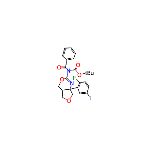 CC(C)(C)OC(=O)N(C(=O)c1ccccc1)C1=NC2(c3cc(I)ccc3F)COCC2CO1